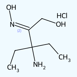 CCC(N)(CC)/C(CO)=N/O.Cl